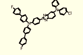 Fc1ccc(-c2ccc(N(c3ccc(-c4ccc(F)cc4)cc3)c3ccc(-n4nc5ccc(N(c6ccc(Cl)cc6)c6ccc(Cl)cc6)cc5n4)cc3)cc2)cc1